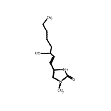 CCCCCC(O)C=CC1CN(C)C(=O)N1